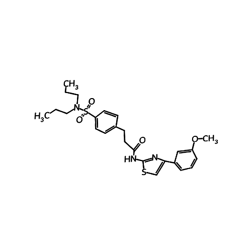 CCCN(CCC)S(=O)(=O)c1ccc(CCC(=O)Nc2nc(-c3cccc(OC)c3)cs2)cc1